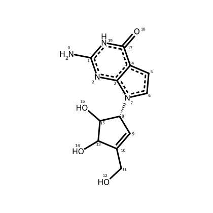 Nc1nc2c(ccn2[C@@H]2C=C(CO)C(O)C2O)c(=O)[nH]1